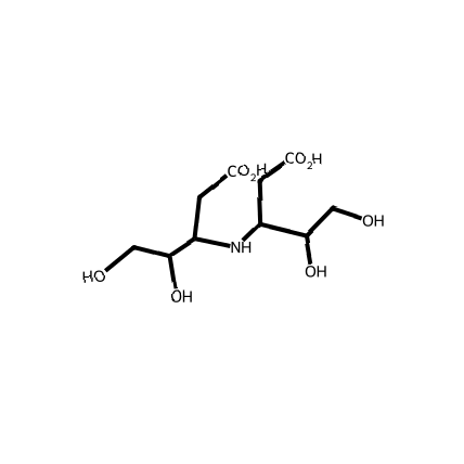 O=C(O)CC(NC(CC(=O)O)C(O)CO)C(O)CO